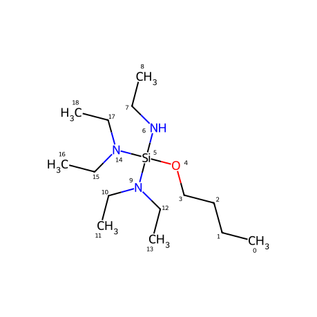 CCCCO[Si](NCC)(N(CC)CC)N(CC)CC